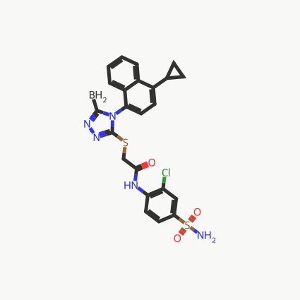 Bc1nnc(SCC(=O)Nc2ccc(S(N)(=O)=O)cc2Cl)n1-c1ccc(C2CC2)c2ccccc12